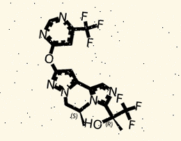 C[C@H]1Cn2nc(Oc3cc(C(F)(F)F)ncn3)cc2-c2cnc([C@@](C)(O)C(F)(F)F)n21